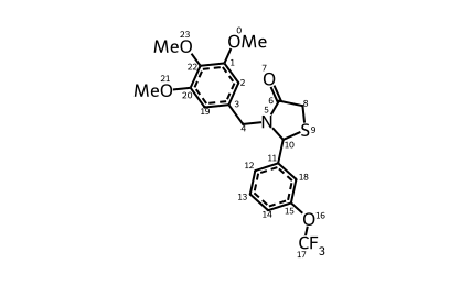 COc1cc(CN2C(=O)CSC2c2cccc(OC(F)(F)F)c2)cc(OC)c1OC